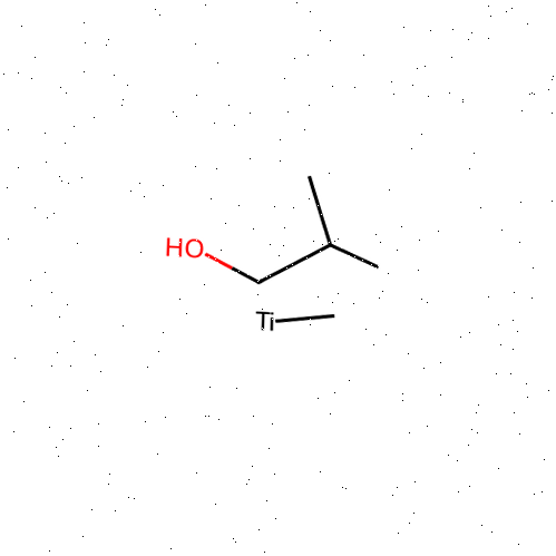 CC(C)CO.[CH3][Ti]